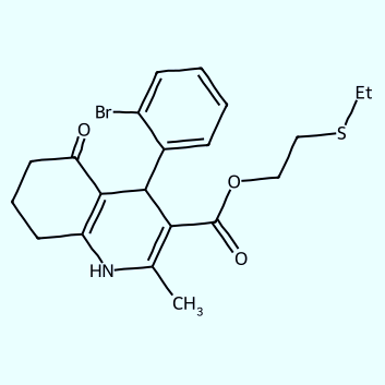 CCSCCOC(=O)C1=C(C)NC2=C(C(=O)CCC2)C1c1ccccc1Br